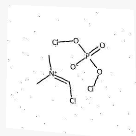 C[N+](C)=CCl.O=P([O-])(OCl)OCl